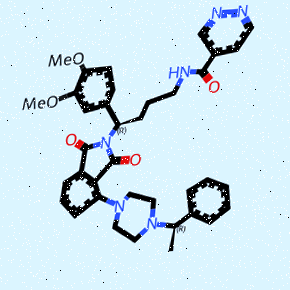 COc1ccc([C@@H](CCCNC(=O)c2ccnnc2)N2C(=O)c3cccc(N4CCN([C@H](C)c5ccccc5)CC4)c3C2=O)cc1OC